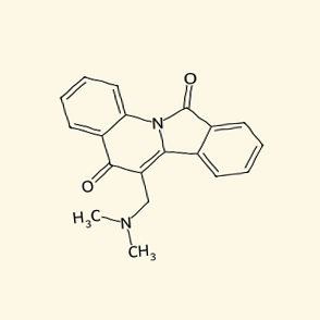 CN(C)Cc1c2n(c3ccccc3c1=O)C(=O)c1ccccc1-2